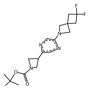 CC(C)(C)OC(=O)N1CC(c2cnc(N3CC4(C3)CC(F)(F)C4)cn2)C1